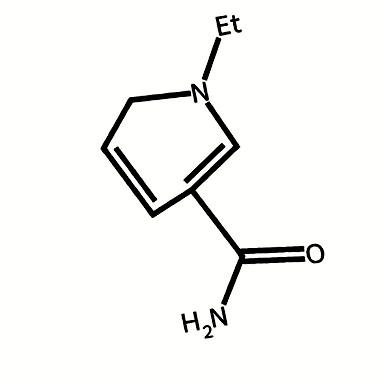 [CH2]CN1C=C(C(N)=O)C=CC1